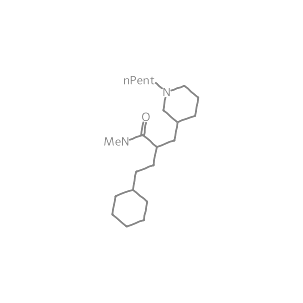 CCCCCN1CCCC(CC(CCC2CCCCC2)C(=O)NC)C1